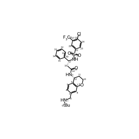 CC(C)(C)NCc1ccc2c(c1)OCC[C@H]2NC(=O)C[C@@H](NS(=O)(=O)c1ccc(Cl)c(C(F)(F)F)c1)c1ccccc1